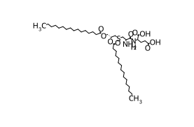 CCCCCCCCCCCCCCCC(=O)OC[C@H](CSC[C@H](N)C(=O)NC(CCC(=O)O)C(=O)O)OC(=O)CCCCCCCCCCCCCCC